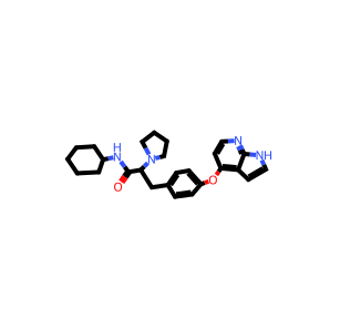 O=C(NC1CCCCC1)C(Cc1ccc(Oc2ccnc3[nH]ccc23)cc1)N1CCCC1